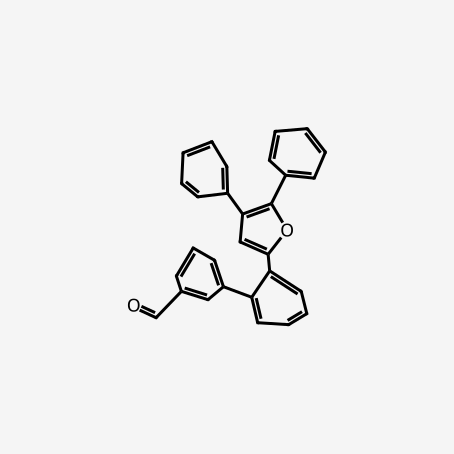 O=Cc1cccc(-c2ccccc2-c2cc(-c3ccccc3)c(-c3ccccc3)o2)c1